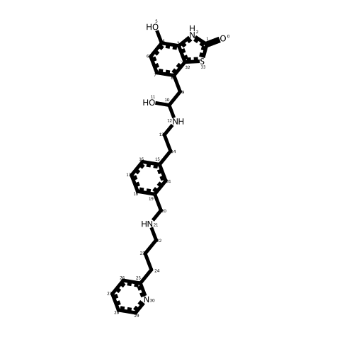 O=c1[nH]c2c(O)ccc(CC(O)NCCc3cccc(CNCCCc4ccccn4)c3)c2s1